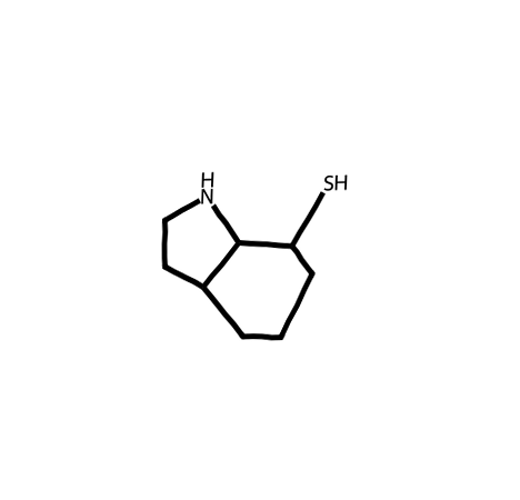 SC1CCCC2CCNC12